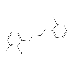 Bc1c(C)cccc1CCCCc1ccccc1C